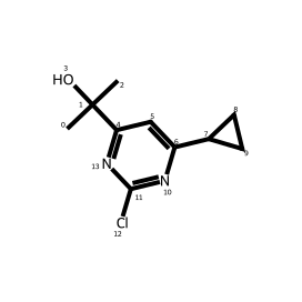 CC(C)(O)c1cc(C2CC2)nc(Cl)n1